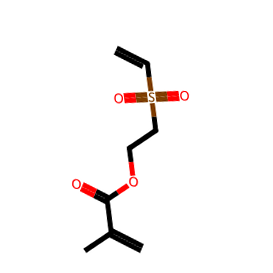 C=CS(=O)(=O)CCOC(=O)C(=C)C